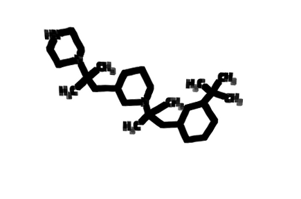 CC(C)(C)C1CCCC(CC(C)(C)N2CCCC(CC(C)(C)N3CCNCC3)C2)C1